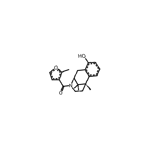 Cc1occc1C(=O)N1CC[C@@]2(C)c3cccc(O)c3CC1C2(C)C